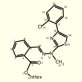 CCCCCCOC(=O)c1ccccc1/C=N/N(C)c1nc(-c2ccccc2Cl)cs1